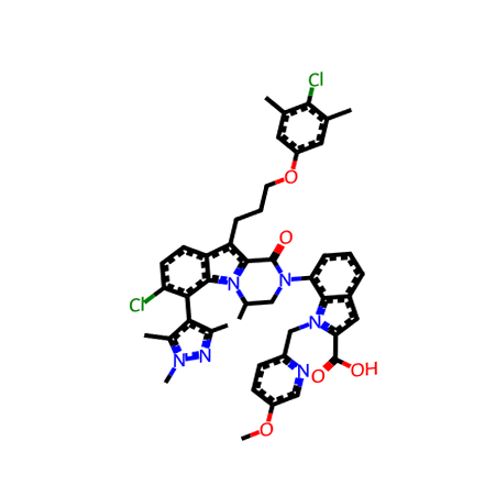 COc1ccc(Cn2c(C(=O)O)cc3cccc(N4CC(C)n5c(c(CCCOc6cc(C)c(Cl)c(C)c6)c6ccc(Cl)c(-c7c(C)nn(C)c7C)c65)C4=O)c32)nc1